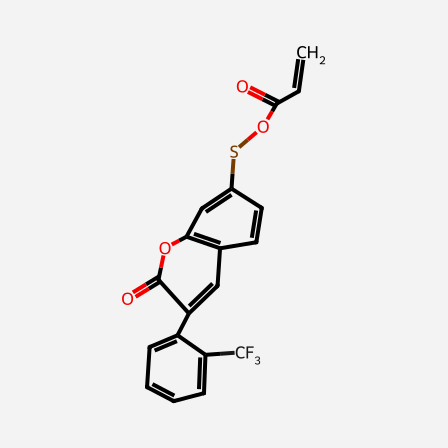 C=CC(=O)OSc1ccc2cc(-c3ccccc3C(F)(F)F)c(=O)oc2c1